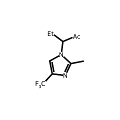 CCC(C(C)=O)n1cc(C(F)(F)F)nc1C